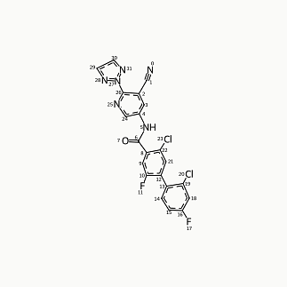 N#Cc1cc(NC(=O)c2cc(F)c(-c3ccc(F)cc3Cl)cc2Cl)cnc1-n1nccn1